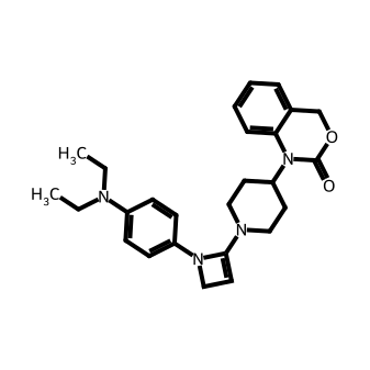 CCN(CC)c1ccc(N2CC=C2N2CCC(N3C(=O)OCc4ccccc43)CC2)cc1